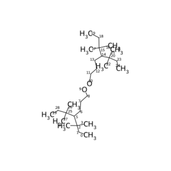 CCC(C)(C)C(CCCOOCCCC(C(C)(C)CC)C(C)(C)CC)C(C)(C)CC